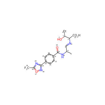 CCC(O)C(N=CC(C)NC(=O)c1ccc(-c2noc(C(F)(F)F)n2)cc1)C(=O)O